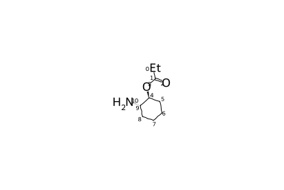 CCC(=O)O[C@H]1CCCC[C@@H]1N